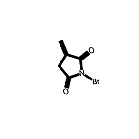 C=C1CC(=O)N(Br)C1=O